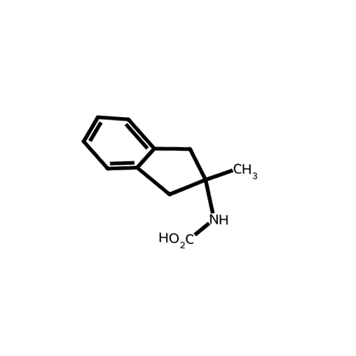 CC1(NC(=O)O)Cc2ccccc2C1